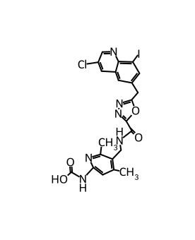 Cc1cc(NC(=O)O)nc(C)c1CNC(=O)c1nnc(Cc2cc(I)c3ncc(Cl)cc3c2)o1